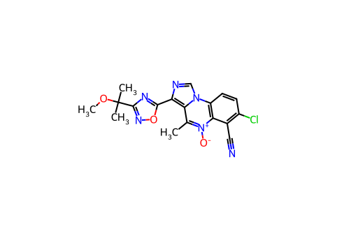 COC(C)(C)c1noc(-c2ncn3c2c(C)[n+]([O-])c2c(C#N)c(Cl)ccc23)n1